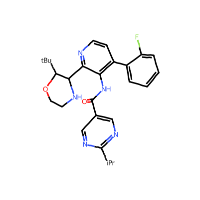 CC(C)c1ncc(C(=O)Nc2c(-c3ccccc3F)ccnc2C2NCCOC2C(C)(C)C)cn1